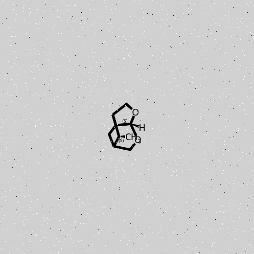 C[C@H]1C2CO[C@H]3OCC1C3C2